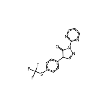 O=C1C(c2ccc(SC(F)(F)F)cc2)C=NN1c1ncccn1